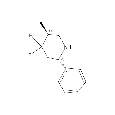 C[C@H]1CN[C@H](c2ccccc2)CC1(F)F